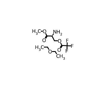 CCOCC.COC(=O)[C@@H](N)COC(=O)C(F)(F)F